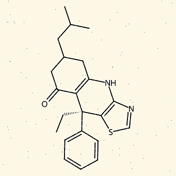 CC[C@]1(c2ccccc2)C2=C(CC(CC(C)C)CC2=O)Nc2ncsc21